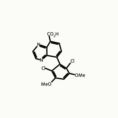 COc1cc(OC)c(Cl)c(-c2ccc(C(=O)O)c3nccnc23)c1Cl